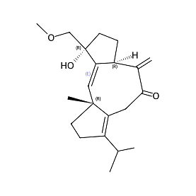 C=C1C(=O)CC2=C(C(C)C)CC[C@]2(C)/C=C2\[C@H]1CC[C@]2(O)COC